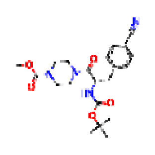 COC(=O)N1CCN(C(=O)[C@H](Cc2ccc(C#N)cc2)NC(=O)OC(C)(C)C)CC1